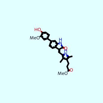 COC(=O)CCc1c(C)[nH]c(C=C2C(=O)Nc3cc(-c4ccc(O)c(OC)c4)ccc32)c1C